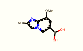 COc1cc(B(O)O)cn2cc(C#N)nc12